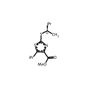 COC(=O)c1nc(S[C@H](C)C(C)C)sc1C(C)C